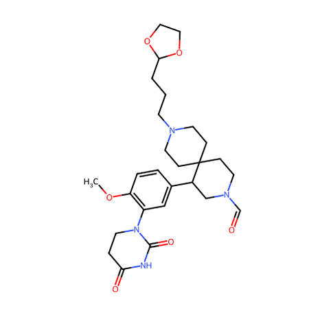 COc1ccc(C2CN(C=O)CCC23CCN(CCCC2OCCO2)CC3)cc1N1CCC(=O)NC1=O